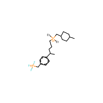 CC[PH](CC)(CCCC(C)c1ccc(C[PH](F)(F)F)cc1)CC1CCC(C)CC1